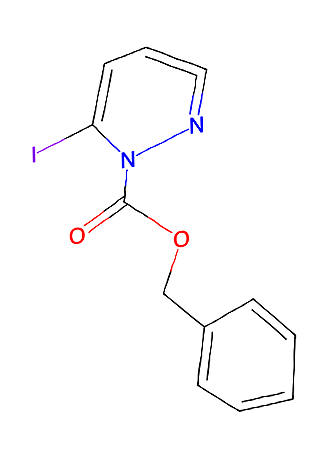 O=C(OCc1ccccc1)N1N=C=CC=C1I